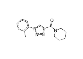 Cc1ccccc1-n1cc(C(=O)N2CCCCC2)nn1